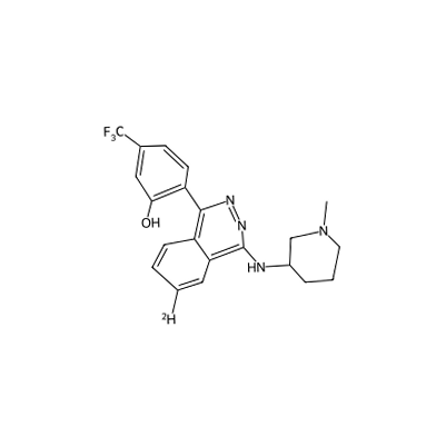 [2H]c1ccc2c(-c3ccc(C(F)(F)F)cc3O)nnc(NC3CCCN(C)C3)c2c1